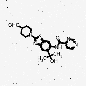 CC(C)(O)c1cc2nc(N3CCC(C=O)CC3)sc2cc1NC(=O)c1ccncn1